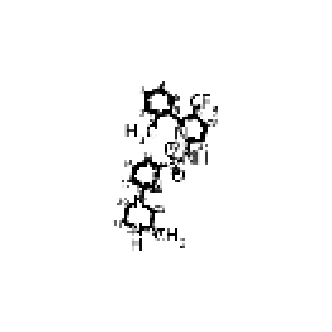 Cc1ccccc1-c1nc(NS(=O)(=O)c2cccc(N3CCN[C@@H](C)C3)n2)ccc1C(F)(F)F